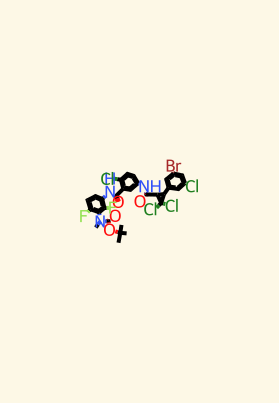 CN(C(=O)OC(C)(C)C)c1c(F)ccc(NC(=O)c2cc(NC(=O)C3C(c4cc(Cl)cc(Br)c4)C3(Cl)Cl)ccc2Cl)c1F